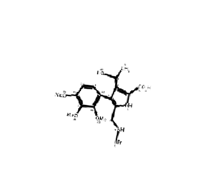 CCCNCc1[nH]c(C(=O)O)c(C(C)O)c1-c1ccc(OC)c(OC)c1OC